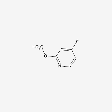 O=C(O)Oc1cc(Cl)ccn1